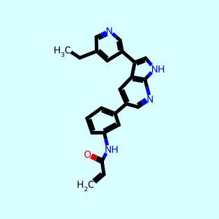 C=CC(=O)Nc1cccc(-c2cnc3[nH]cc(-c4cncc(CC)c4)c3c2)c1